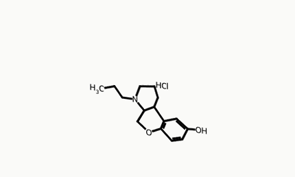 CCCN1CCCC2c3cc(O)ccc3OCC21.Cl